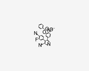 N#Cc1ccc(-c2c(C#N)cncc2-c2ccc([N+](=O)[O-])c(OCc3ccccc3)c2)cc1F